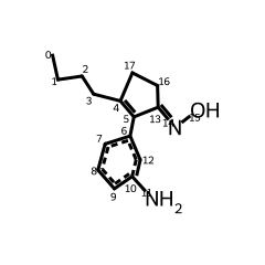 CCCCC1=C(c2cccc(N)c2)C(=NO)CC1